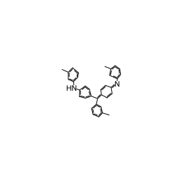 Cc1cccc(N=C2C=CC(=C(c3ccc(Nc4cccc(C)c4)cc3)c3cccc(C)c3)C=C2)c1